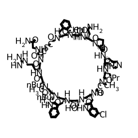 CCCC[C@H]1C(=O)N(C)[C@@H](CCCC)C(=O)N[C@@H](CCCNC(=N)N)C(=O)N[C@H](C(=O)NCC(N)=O)CSCC(=O)N[C@@H](Cc2ccccc2)C(=O)N(C)[C@@H](C)C(=O)N[C@@H](CC(N)=O)C(=O)N2CCC[C@H]2C(=O)N[C@@H](Cc2cnc[nH]2)C(=O)N[C@@H](CC(C)C)C(=O)N(C)CC(=O)N[C@@H](Cc2c[nH]c3ccc(Cl)cc23)C(=O)N[C@@H](CO)C(=O)N[C@@H](Cc2c[nH]c3ccccc23)C(=O)N1C